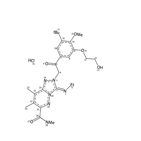 CCN=c1n(CC(=O)c2cc(OCCO)c(OC)c(C(C)(C)C)c2)nc2c(C)c(C)c(C(=O)NC)nn12.Cl